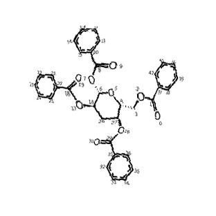 O=C(OC[C@H]1O[C@@H](OC(=O)c2ccccc2)[C@H](OC(=O)c2ccccc2)C[C@@H]1OC(=O)c1ccccc1)c1ccccc1